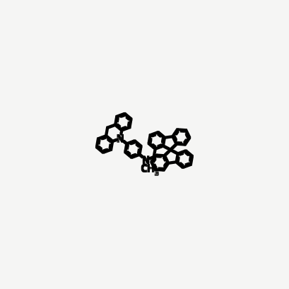 CN(Cc1cccc2c1C1(c3ccccc3-c3ccccc31)c1ccccc1-2)c1ccc(N2c3ccccc3Cc3ccccc32)cc1